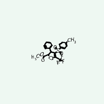 COC(=O)C1OC(C(F)(F)F)=C(S(=O)(=O)c2ccc(C)cc2)C1c1ccccc1